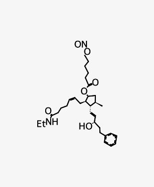 CCNC(=O)CCC/C=C\C[C@@H]1[C@@H](/C=C/[C@@H](O)CCc2ccccc2)[C@H](C)C[C@@H]1OC(=O)CCCCCON=O